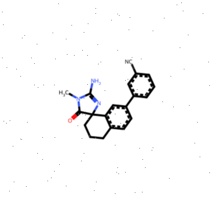 CN1C(=O)C2(CCCc3ccc(-c4cccc(C#N)c4)cc32)N=C1N